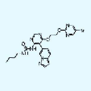 CCCCN[Si](=O)Nc1ncnc(OCCOc2ncc(Br)cn2)c1-c1ccc2ccnn2c1